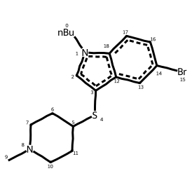 CCCCn1cc(SC2CCN(C)CC2)c2cc(Br)ccc21